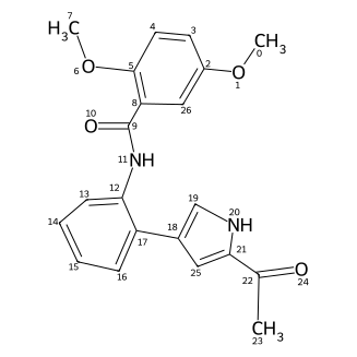 COc1ccc(OC)c(C(=O)Nc2ccccc2-c2c[nH]c(C(C)=O)c2)c1